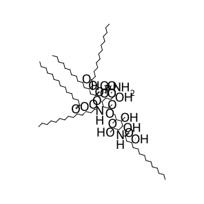 CCCCCCCCCCCCCC(=O)O[C@H](CCCCCCCCCCC)CC(=O)NC1C(OC(=O)C[C@@H](CCCCCCCCCCC)OC(=O)CCCCCCCCCCCCC)[C@H](OP(=O)(O)ON)C(CO)O[C@H]1OCC1O[C@H](O)C(NC(=O)C[C@H](O)CCCCCCCCCCC)C(O)[C@@H]1O